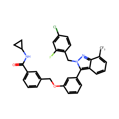 O=C(NC1CC1)c1cccc(COc2cccc(-c3c4cccc(C(F)(F)F)c4nn3Cc3ccc(Cl)cc3F)c2)c1